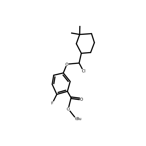 CC1(C)CCCC(C(Cl)Oc2ccc(F)c(C(=O)OC(C)(C)C)c2)C1